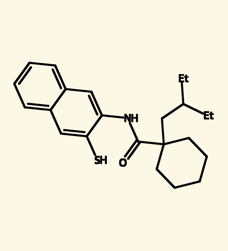 CCC(CC)CC1(C(=O)Nc2cc3ccccc3cc2S)CCCCC1